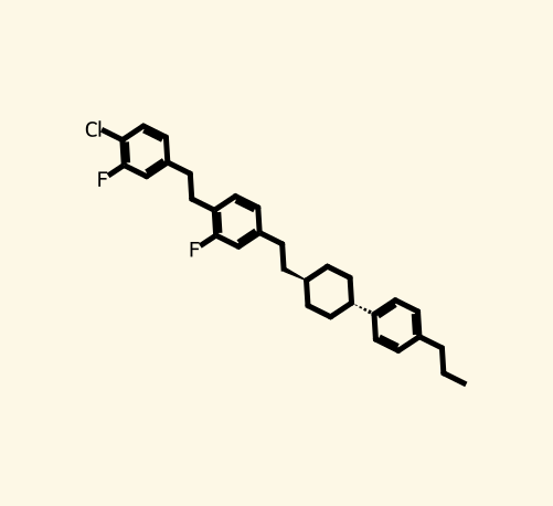 CCCc1ccc([C@H]2CC[C@H](CCc3ccc(CCc4ccc(Cl)c(F)c4)c(F)c3)CC2)cc1